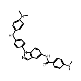 CN(C)c1ccc(Nc2ccc(-n3ncc4cc(NC(=O)c5ccc(N(C)C)cc5)ccc43)cc2)cc1